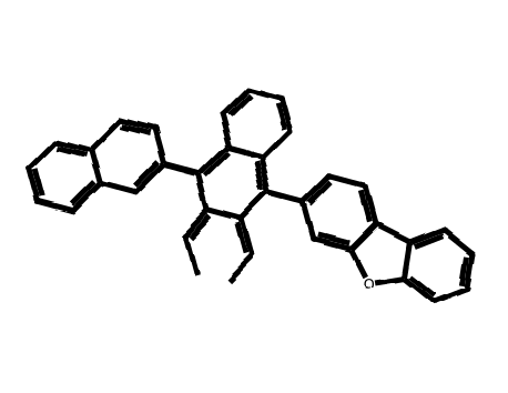 C/C=c1/c(-c2ccc3ccccc3c2)c2ccccc2c(-c2ccc3c(c2)oc2ccccc23)/c1=C/C